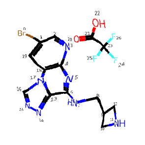 Brc1cnc2nc(NCC3CNC3)c3nncn3c2c1.O=C(O)C(F)(F)F